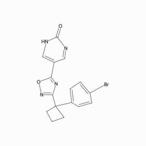 O=c1ncc(-c2nc(C3(c4ccc(Br)cc4)CCC3)no2)c[nH]1